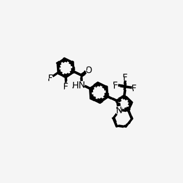 O=C(Nc1ccc(-c2c(C(F)(F)F)cc3n2CCCC3)cc1)c1cccc(F)c1F